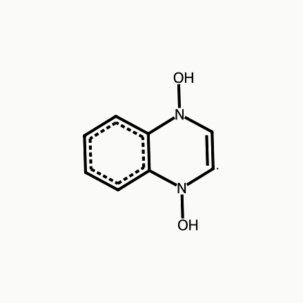 ON1[C]=CN(O)c2ccccc21